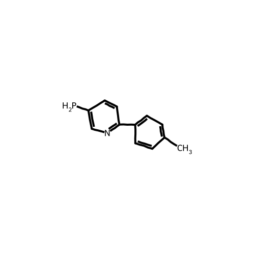 Cc1ccc(-c2ccc(P)cn2)cc1